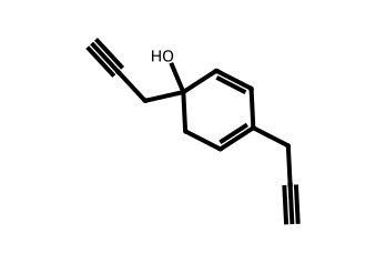 C#CCC1=CCC(O)(CC#C)C=C1